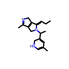 CC/C=C1/C2=C(CN1C(C)C1=CC(C)=CNC1)C(C)=NC2